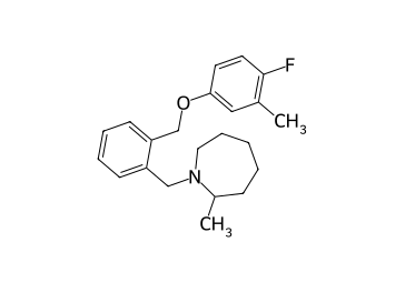 Cc1cc(OCc2ccccc2CN2CCCCCC2C)ccc1F